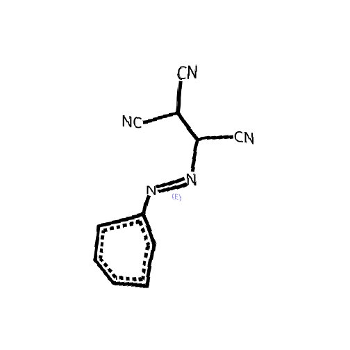 N#CC(C#N)C(C#N)/N=N/c1ccccc1